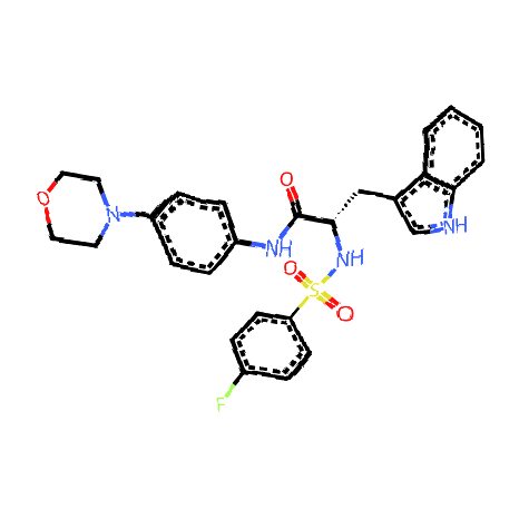 O=C(Nc1ccc(N2CCOCC2)cc1)[C@H](Cc1c[nH]c2ccccc12)NS(=O)(=O)c1ccc(F)cc1